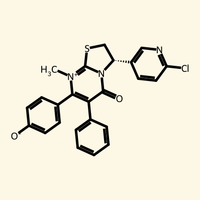 C[n+]1c(-c2ccc([O-])cc2)c(-c2ccccc2)c(=O)n2c1SC[C@@H]2c1ccc(Cl)nc1